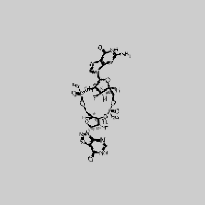 Nc1nc2c(ncn2C2O[C@@H]3COP(=O)(S)O[C@H]4[C@H](F)[C@H](n5nnc6c(=O)[nH]cnc65)O[C@@H]4COP(=O)(S)O[C@@H]2[C@@H]3F)c(=O)[nH]1